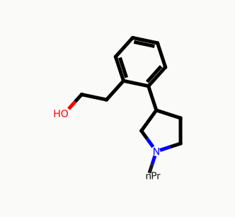 CCCN1CCC(c2ccccc2CCO)C1